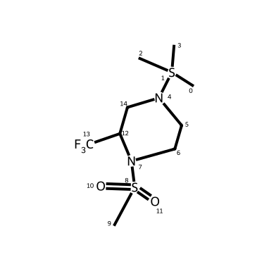 CS(C)(C)N1CCN(S(C)(=O)=O)C(C(F)(F)F)C1